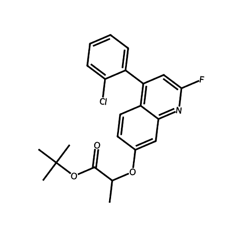 CC(Oc1ccc2c(-c3ccccc3Cl)cc(F)nc2c1)C(=O)OC(C)(C)C